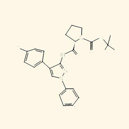 C[C@H]1CC[C@H](C(=O)Nc2nn(-c3ccccc3)cc2-c2ccc(F)cc2)N1C(=O)OC(C)(C)C